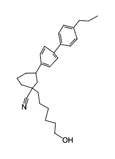 CCCc1ccc(-c2ccc(C3CCCC(C#N)(CCCCCCO)C3)cc2)cc1